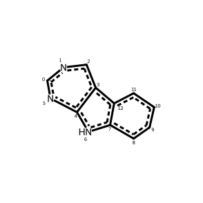 [c]1ncc2c(n1)[nH]c1ccccc12